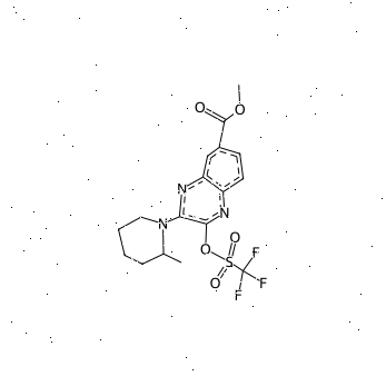 COC(=O)c1ccc2nc(OS(=O)(=O)C(F)(F)F)c(N3CCCCC3C)nc2c1